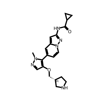 Cn1ncc(OC[C@@H]2CCNC2)c1-c1ccn2nc(NC(=O)C3CC3)cc2c1